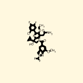 CCOc1c(CC(N)=O)cc([C@@](O)(CNC(=O)c2cc(OC)c3nn(C(F)F)cc3c2)C2CC2)nc1-c1cc(F)c(F)cc1Cl